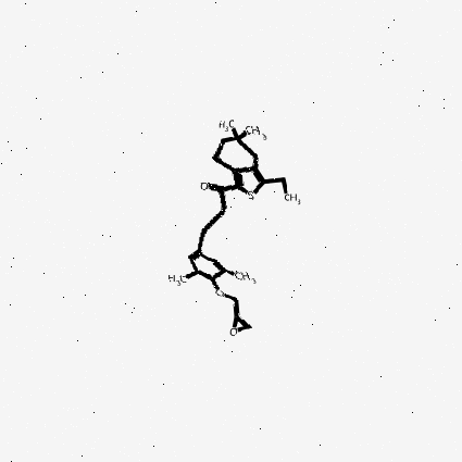 CCc1sc(C(=O)CCc2cc(C)c(OCC3CO3)c(C)c2)c2c1CC(C)(C)CC2